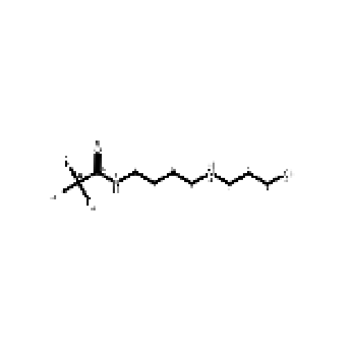 CCCCNCCCCNC(=O)C(F)(F)F